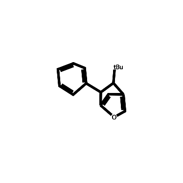 CC(C)(C)C1c2coc(c2)C1c1ccccc1